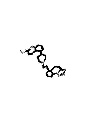 Cc1ccc2c(C3CCN(CCc4cccc5c4CCc4nnnn4-5)CC3)cccc2n1